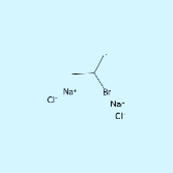 [CH2]C(C)Br.[Cl-].[Cl-].[Na+].[Na+]